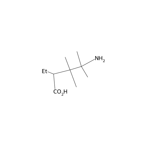 CCC(C(=O)O)C(C)(C)C(C)(C)N